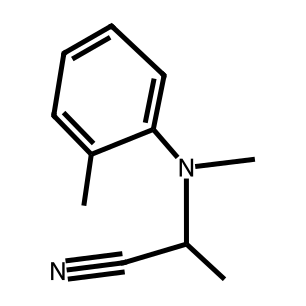 Cc1ccccc1N(C)C(C)C#N